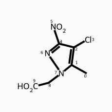 Cc1c(Cl)c([N+](=O)[O-])nn1CC(=O)O